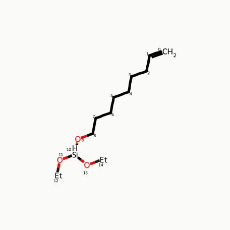 C=CCCCCCCCO[SiH](OCC)OCC